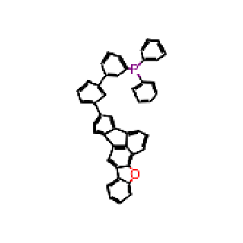 c1ccc(P(c2ccccc2)c2cccc(-c3cccc(-c4ccc5c(c4)-c4cccc6c4c-5cc4c5ccccc5oc64)c3)c2)cc1